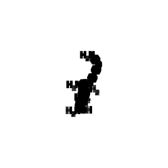 Nc1ccc(Oc2ccc(-c3ccc(Oc4ccc(N)c(Oc5cc(C(c6ccc(N)c(O)c6)(C(F)(F)F)C(F)(F)F)ccc5N)c4)cc3)cc2)cc1